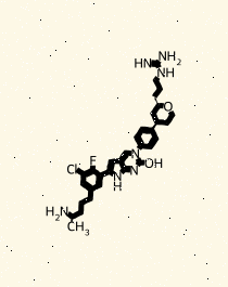 C[C@H](N)CCCc1cc(Cl)c(F)c(-c2cc3c([nH]2)=NC(O)N(c2ccc([C@@H]4CCO[C@@H](CCCNC(=N)N)C4)cc2)C=3)c1